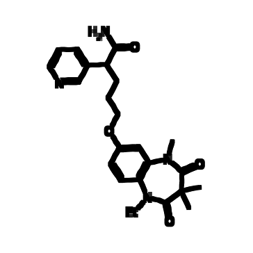 CCN1C(=O)C(C)(C)C(=O)N(C)c2cc(OCCCC(C(N)=O)c3cccnc3)ccc21